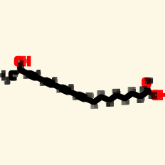 C[C@H](O)C#CC#CC#CC#CCCCCCCCC(=O)O